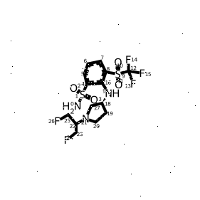 NS(=O)(=O)c1cccc(S(=O)(=O)C(F)(F)F)c1N[C@@H]1CCN(C(CF)CF)C1